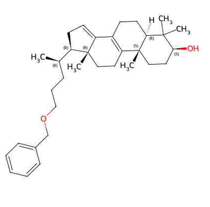 C[C@H](CCCOCc1ccccc1)[C@H]1CC=C2C3=C(CC[C@@]21C)[C@@]1(C)CC[C@H](O)C(C)(C)[C@@H]1CC3